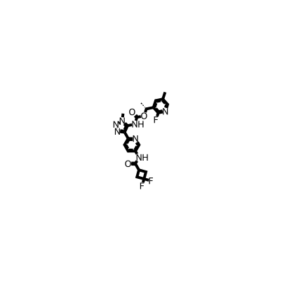 Cc1cnc(F)c([C@@H](C)OC(=O)Nc2c(-c3ccc(NC(=O)C4CC(F)(F)C4)cn3)nnn2C)c1